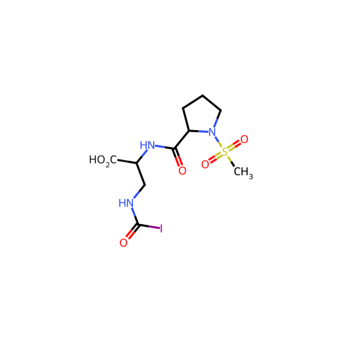 CS(=O)(=O)N1CCCC1C(=O)NC(CNC(=O)I)C(=O)O